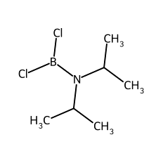 CC(C)N(B(Cl)Cl)C(C)C